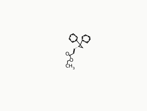 CCOC(=O)/C=C/[C@H]1CC1(c1ccccc1)c1ccccc1